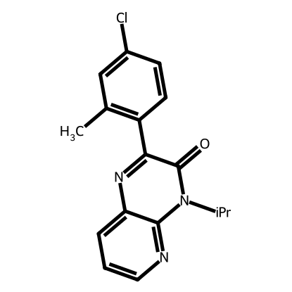 Cc1cc(Cl)ccc1-c1nc2cccnc2n(C(C)C)c1=O